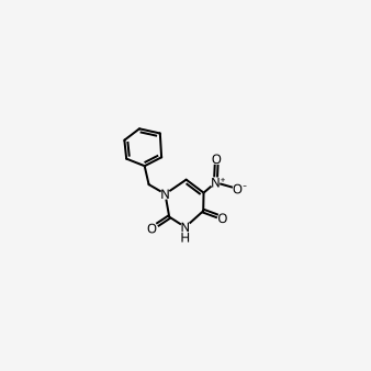 O=c1[nH]c(=O)n(Cc2ccccc2)cc1[N+](=O)[O-]